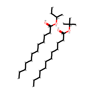 CCCCCCCCCCCC(=O)OC(C)(C)C.CCCCCCCCCCCC(=O)OC(C)CC